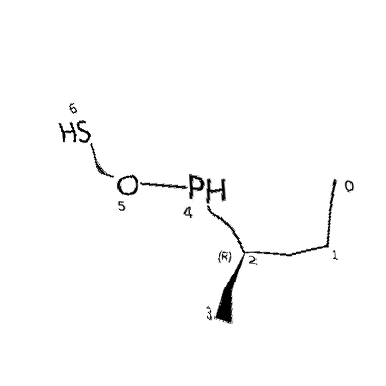 CC[C@@H](C)POS